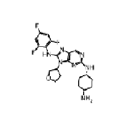 N[C@H]1CC[C@H](Nc2ncc3nc(Nc4c(F)cc(F)cc4F)n(C4CCOC4)c3n2)CC1